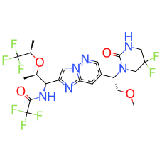 COC[C@H](c1cnn2cc([C@@H](NC(=O)C(F)(F)F)[C@@H](C)O[C@H](C)C(F)(F)F)nc2c1)N1CC(F)(F)CNC1=O